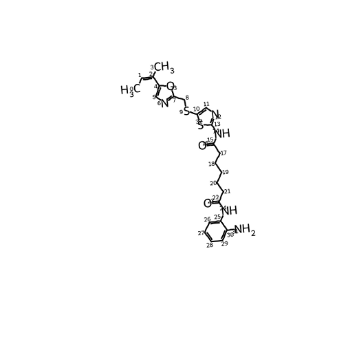 C/C=C(/C)c1cnc(CSc2cnc(NC(=O)CCCCCC(=O)Nc3ccccc3N)s2)o1